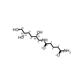 NC(=O)CCCC(=O)NC[C@H](O)CC[C@H](O)CO